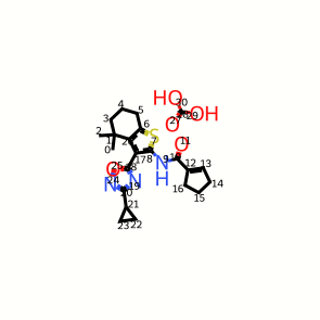 CC1(C)CCCc2sc(NC(=O)C3=CCCC3)c(-c3nc(C4CC4)no3)c21.O=C(O)O